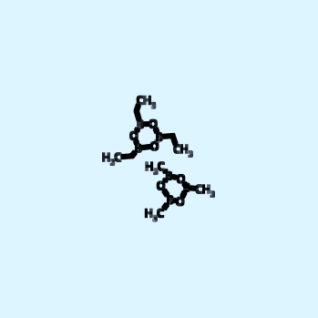 CB1OB(C)OB(C)O1.CCB1OB(CC)OB(CC)O1